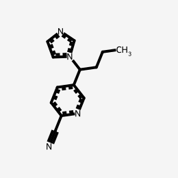 CCCC(c1ccc(C#N)nc1)n1ccnc1